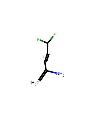 C=C(N)/C=C/C(F)F